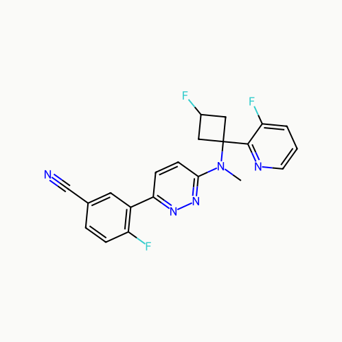 CN(c1ccc(-c2cc(C#N)ccc2F)nn1)C1(c2ncccc2F)CC(F)C1